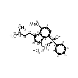 COc1ccc(S(=O)(=O)c2ccccc2)c2c1c(CCN(C)C)cn2C.Cl